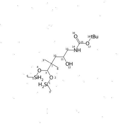 C[SiH2]OC(O[SiH2]C)C(C)(C)CC(O)CNC(=O)OC(C)(C)C